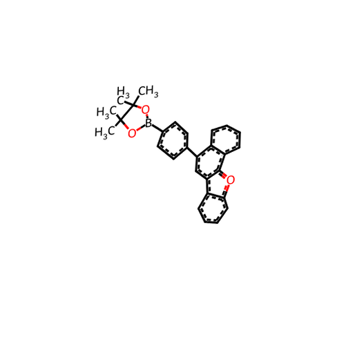 CC1(C)OB(c2ccc(-c3cc4c5ccccc5oc4c4ccccc34)cc2)OC1(C)C